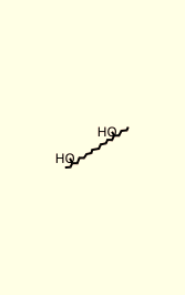 CCCCC(O)CCCCCCCCCCCC(O)CC